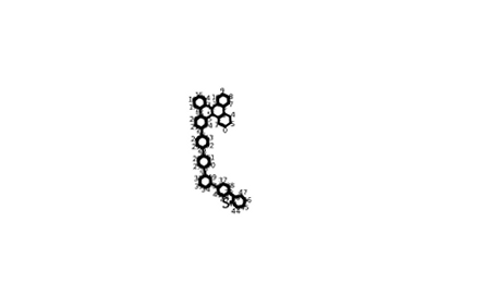 C1=CC2=C(CC1)c1ccccc1C1c3ccccc3-c3ccc(-c4ccc(-c5ccc(-c6cccc(-c7ccc8c(c7)sc7ccccc78)c6)cc5)cc4)cc3C21